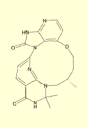 C[C@H]1CCOc2ccnc3[nH]c(=O)n(c23)-c2ccc3c(n2)N(C1)C(C)(C)NC3=O